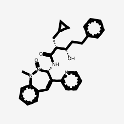 CN1c2ccccc2C=C(c2ccccn2)[C@@H](NC(=O)[C@H](CC2CC2)[C@@H](O)CCc2ccccc2)[N+]1=O